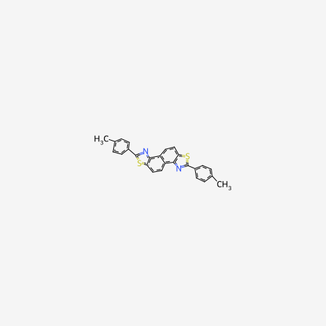 Cc1ccc(-c2nc3c(ccc4c3ccc3sc(-c5ccc(C)cc5)nc34)s2)cc1